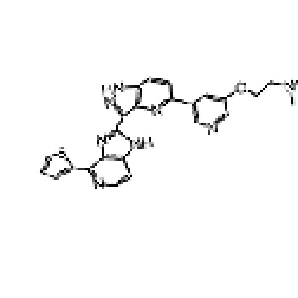 CN(C)CCOc1cncc(-c2ccc3[nH]nc(-c4nc5c(-c6cccs6)nccc5[nH]4)c3n2)c1